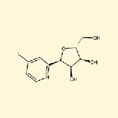 OC[C@H]1O[C@H](c2cc(I)ccn2)[C@H](O)[C@@H]1O